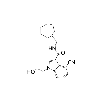 N#Cc1cccc2c1c(C(=O)NCC1CCCCCC1)cn2CCO